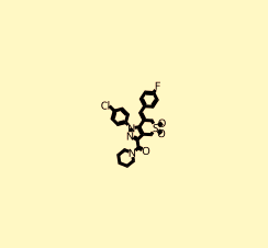 O=C(c1nn(-c2ccc(Cl)cc2)c2c1CS(=O)(=O)CC2=Cc1ccc(F)cc1)N1CCCCC1